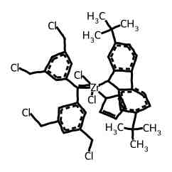 CC(C)(C)c1ccc2c(c1)[CH]([Zr]([Cl])([Cl])(=[C](c1cc(CCl)cc(CCl)c1)c1cc(CCl)cc(CCl)c1)[CH]1C=CC=C1)c1cc(C(C)(C)C)ccc1-2